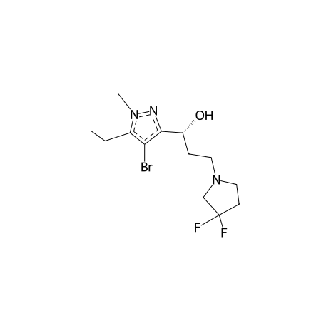 CCc1c(Br)c([C@H](O)CCN2CCC(F)(F)C2)nn1C